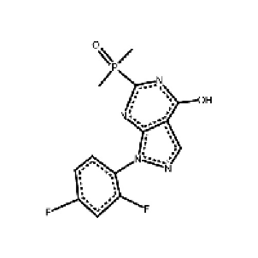 CP(C)(=O)c1nc(O)c2cnn(-c3ccc(F)cc3F)c2n1